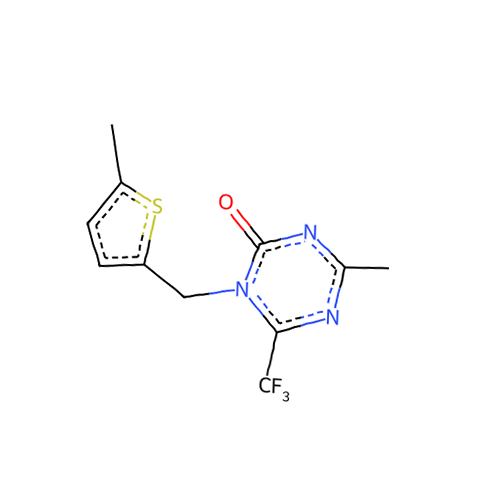 Cc1nc(C(F)(F)F)n(Cc2ccc(C)s2)c(=O)n1